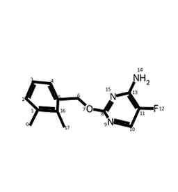 Cc1cccc(COc2ncc(F)c(N)n2)c1C